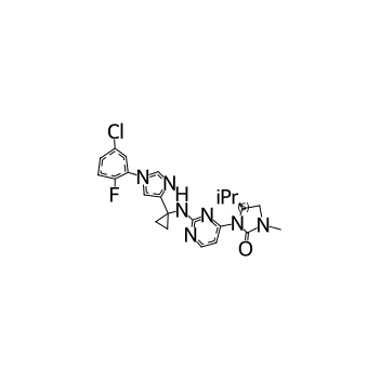 CC(C)[C@H]1CN(C)C(=O)N1c1ccnc(NC2(c3cn(-c4cc(Cl)ccc4F)cn3)CC2)n1